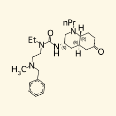 CCCN1C[C@@H](NC(=O)N(CC)CCN(C)Cc2ccccc2)C[C@@H]2CC(=O)CC[C@H]21